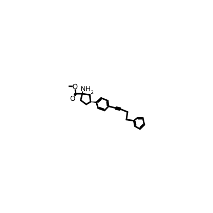 COC(=O)[C@@]1(N)CC[C@H](c2ccc(C#CCCc3ccccc3)cc2)C1